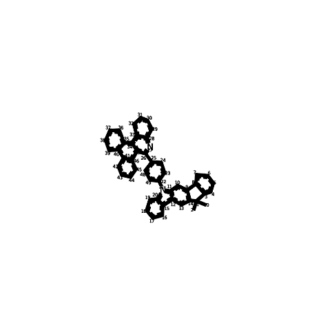 CC1(C)c2ccccc2-c2cc3c(cc21)c1ccccc1n3-c1ccc(-c2nc3ccccc3c3c4ccccc4c4ccccc4c23)cc1